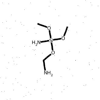 CO[Si](N)(OC)OCN